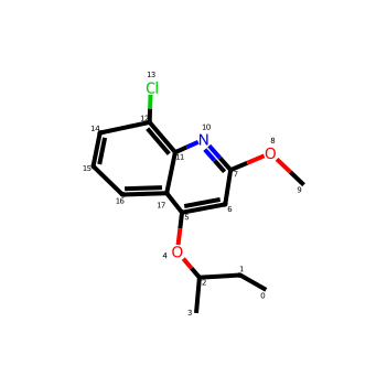 CCC(C)Oc1cc(OC)nc2c(Cl)cccc12